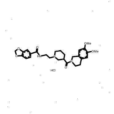 COc1cc2c(cc1OC)CN(C(=O)C1CCCN(CCNC(=O)c3ccc4c(c3)OCO4)C1)CC2.Cl